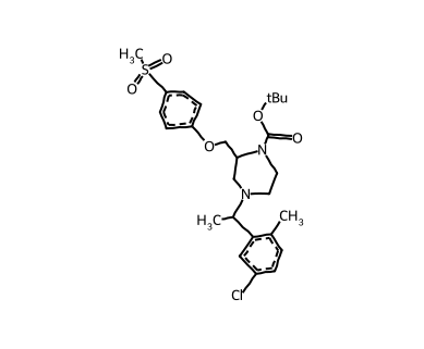 Cc1ccc(Cl)cc1C(C)N1CCN(C(=O)OC(C)(C)C)C(COc2ccc(S(C)(=O)=O)cc2)C1